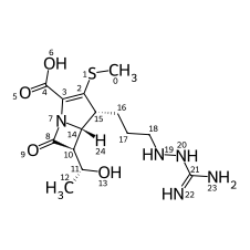 CSC1=C(C(=O)O)N2C(=O)[C@H]([C@@H](C)O)[C@H]2[C@H]1CCCNNC(=N)N